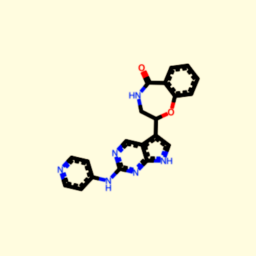 O=C1NCC(c2c[nH]c3nc(Nc4ccncc4)ncc23)Oc2ccccc21